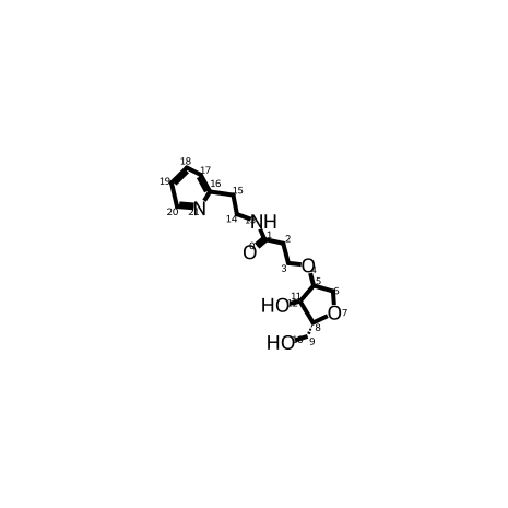 O=C(CCOC1CO[C@H](CO)C1O)NCCc1ccccn1